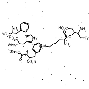 CC(C)(C)OC(=O)N[C@@H](Cc1ccccc1)C(=O)O.CC(C)C[C@H](N)[C@H](CC(=O)O)OC(=O)[C@@H](N)CCCCN.CN[C@@H](Cc1c[nH]cn1)C(=O)O.N[C@@H](Cc1ccccc1)C(=O)O